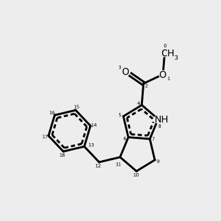 COC(=O)c1cc2c([nH]1)CCC2Cc1ccccc1